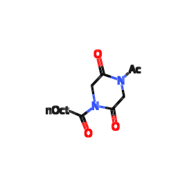 CCCCCCCCC(=O)N1CC(=O)N(C(C)=O)CC1=O